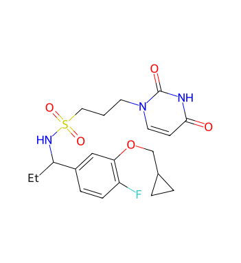 CCC(NS(=O)(=O)CCCn1ccc(=O)[nH]c1=O)c1ccc(F)c(OCC2CC2)c1